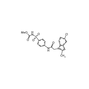 COC(=O)NS(=O)(=O)c1ccc(NC(=O)Cn2c(C)cc3cc(Cl)ccc32)cc1